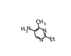 CCc1ncc(N)c(C)n1